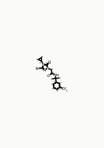 CC(C)(NC(=O)Cn1nc(Br)n(C2CC2)c1=O)c1cccc(C(F)(F)F)c1